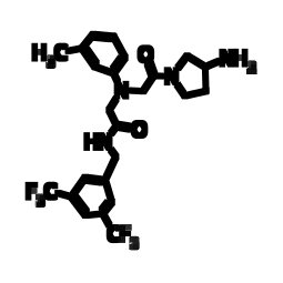 Cc1cccc(N(CC(=O)NCc2cc(C(F)(F)F)cc(C(F)(F)F)c2)CC(=O)N2CCC(N)C2)c1